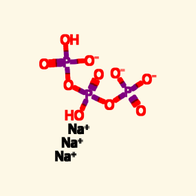 O=P([O-])([O-])OP(=O)(O)OP(=O)([O-])O.[Na+].[Na+].[Na+]